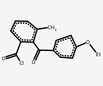 CCOc1ccc(C(=O)c2c(C)cccc2C(=O)Cl)cc1